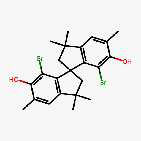 Cc1cc2c(c(Br)c1O)C1(CC2(C)C)CC(C)(C)c2cc(C)c(O)c(Br)c21